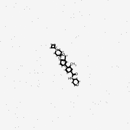 Cc1cc(C(=O)NC2CCOCC2)ccc1-c1ccc2c(c1)COC1(CCN(C3CCC3)CC1)O2